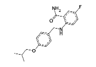 CC(C)COc1ccc(CNc2ccc(F)cc2C(N)=O)cc1